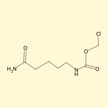 NC(=O)CCCCNC(=O)OCCl